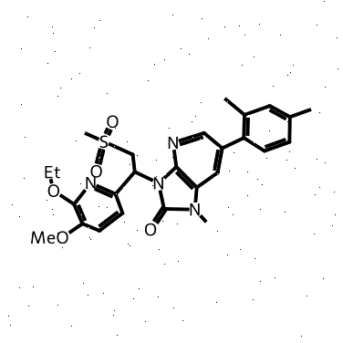 CCOc1nc(C(CS(C)(=O)=O)n2c(=O)n(C)c3cc(-c4ccc(C)cc4C)cnc32)ccc1OC